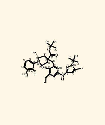 CCc1cc(Nc2cc(C)n(C(C)(C)C)n2)nc(CC2(C(=O)OC(C)(C)C)CCN(c3cccc(Cl)c3F)[C@H](C)C2)c1F